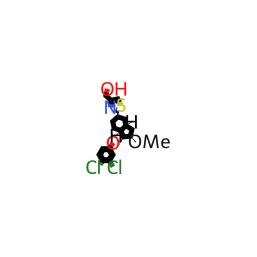 CO[C@H]1C[C@@H]2C[C@@H](c3nc(CO)cs3)CC[C@@H]2[C@H]1COc1ccc(Cl)c(Cl)c1